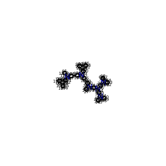 c1ccc(N(c2ccc(-c3ccc(N(c4ccc(-c5ccc6c(c5)c5ccccc5n6-c5ccc(N(c6ccc(-n7c8ccccc8c8ccccc87)cc6)c6ccc(-n7c8ccccc8c8ccccc87)cc6)cc5)cc4)c4ccc5c6ccccc6c6ccccc6c5c4)cc3)cc2)c2ccc3c4ccccc4c4ccccc4c3c2)cc1